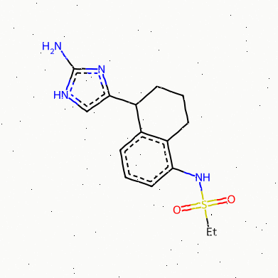 CCS(=O)(=O)Nc1cccc2c1CCCC2c1c[nH]c(N)n1